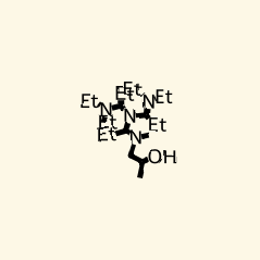 CCC(N(C)CC(C)O)N(C(CC)N(CC)CC)C(CC)N(CC)CC